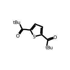 CC(C)(C)C(=O)c1ccc(C(=O)C(C)(C)C)s1